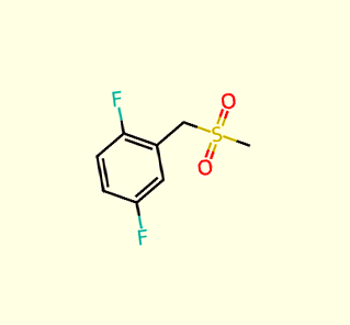 CS(=O)(=O)Cc1cc(F)ccc1F